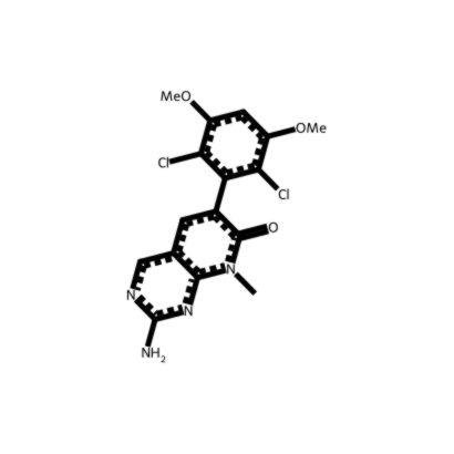 COc1cc(OC)c(Cl)c(-c2cc3cnc(N)nc3n(C)c2=O)c1Cl